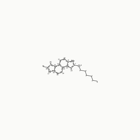 CCCCCCOc1nc2ccc3c(ccc4nc(C)sc43)c2s1